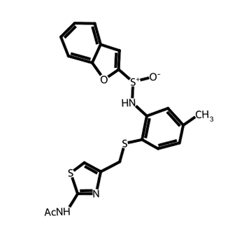 CC(=O)Nc1nc(CSc2ccc(C)cc2N[S+]([O-])c2cc3ccccc3o2)cs1